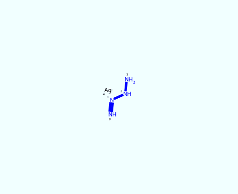 N=NNN.[Ag]